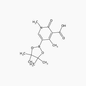 Cc1c(B2OC(C)(C)C(C)(C)O2)cn(C)c(=O)c1C(=O)O